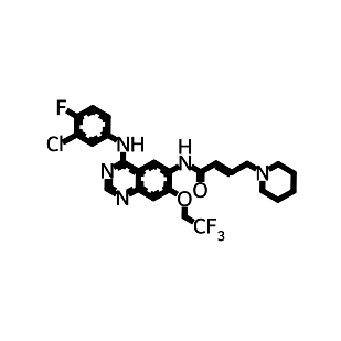 O=C(C=CCN1CCCCC1)Nc1cc2c(Nc3ccc(F)c(Cl)c3)ncnc2cc1OCC(F)(F)F